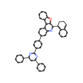 C1=c2ccccc2=C(c2nc3cc(-c4ccc(-c5nc(-c6ccccc6)cc(-c6ccccc6)n5)cc4)ccc3c3c2oc2ccccc23)CC1